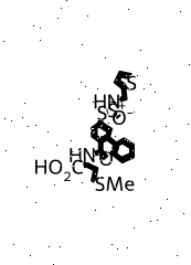 CSCCC(NC(=O)c1ccc(S[S+]([O-])NCc2cccs2)cc1-c1ccccc1)C(=O)O